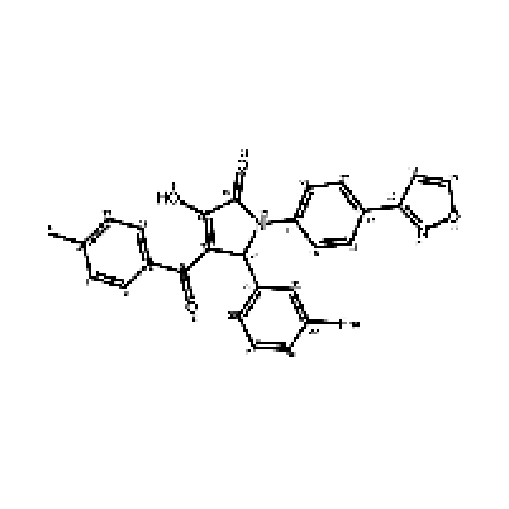 Cc1ccc(C(=O)C2=C(O)C(=O)N(c3ccc(-c4ccon4)cc3)C2c2cccc(F)c2)cc1